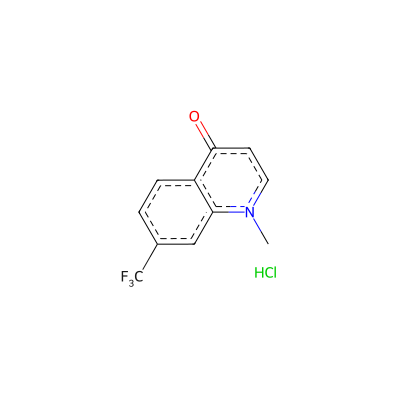 Cl.Cn1ccc(=O)c2ccc(C(F)(F)F)cc21